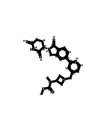 COC(=O)N(C)C1CN(Cc2ccnc(-c3ccc4c(c3)CN([C@H]3CCC(=O)NC3=O)C4=O)c2)C1